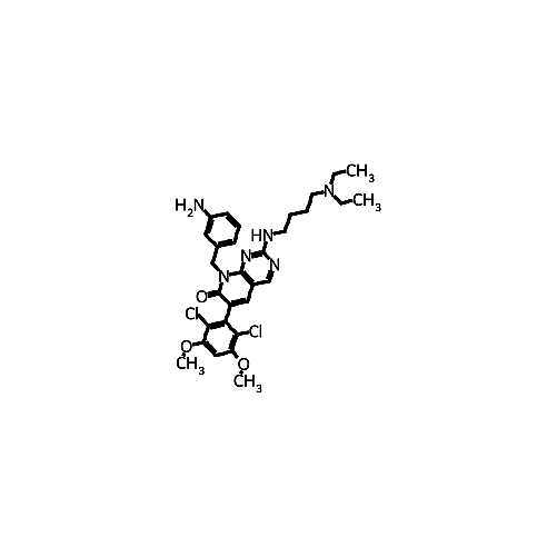 CCN(CC)CCCCNc1ncc2cc(-c3c(Cl)c(OC)cc(OC)c3Cl)c(=O)n(Cc3cccc(N)c3)c2n1